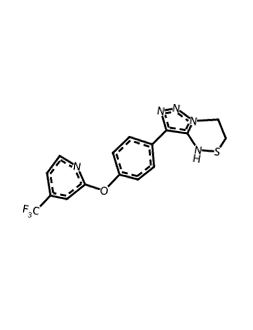 FC(F)(F)c1ccnc(Oc2ccc(-c3nnn4c3NSCC4)cc2)c1